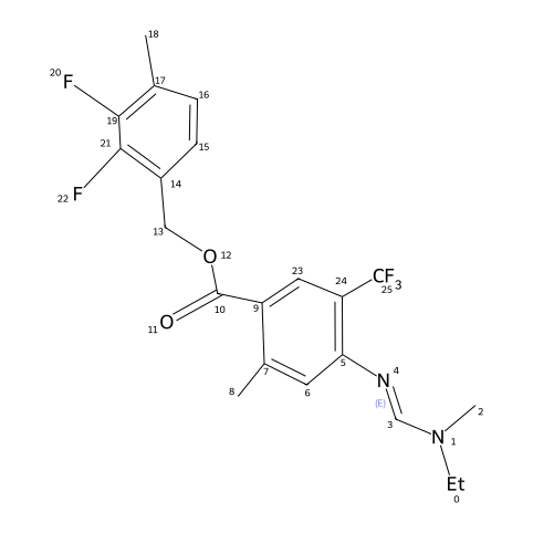 CCN(C)/C=N/c1cc(C)c(C(=O)OCc2ccc(C)c(F)c2F)cc1C(F)(F)F